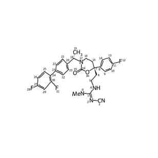 CN/C(=N/C#N)NCC[C@]1(c2ccc(F)cc2)CCN([C@@H](C)c2ccc(-c3ccc(F)cc3F)cc2)C(=O)O1